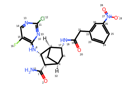 NC(=O)[C@H]1[C@H]2C[C@@H]([C@H]1Nc1nc(Cl)ncc1F)[C@H](NC(=O)Cc1cccc([N+](=O)[O-])c1)C2